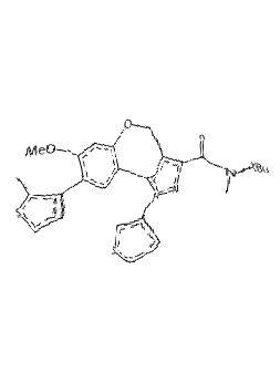 COc1cc2c(cc1-c1ccsc1C)-c1c(c(C(=O)N(C)C(C)(C)C)nn1-c1ccsc1)CO2